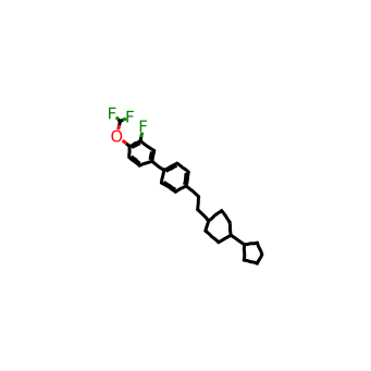 Fc1cc(-c2ccc(CCC3CCC(C4CCCC4)CC3)cc2)ccc1OC(F)F